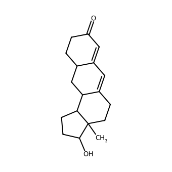 CC12CCC3=CC4=CC(=O)CCC4CC3C1CCC2O